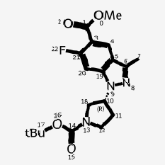 COC(=O)c1cc2c(C)nn([C@@H]3CCN(C(=O)OC(C)(C)C)C3)c2cc1F